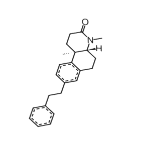 CN1C(=O)CC[C@]2(C)c3ccc(CCc4ccccc4)cc3CC[C@@H]12